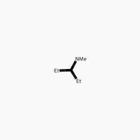 C[CH]C(CC)NC